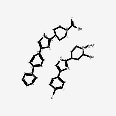 CC(C)(C)C1CC(c2nc(-c3ccc(F)cc3)c[nH]2)CCN1C(=O)O.CCCCC(=O)N1CCC(c2nc(-c3ccc(-c4ccccc4)cc3)c[nH]2)CC1